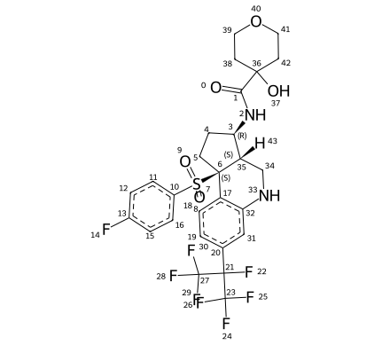 O=C(N[C@@H]1CC[C@@]2(S(=O)(=O)c3ccc(F)cc3)c3ccc(C(F)(C(F)(F)F)C(F)(F)F)cc3NC[C@@H]12)C1(O)CCOCC1